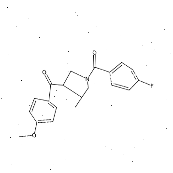 COc1ccc(C(=O)C2CN(C(=O)c3ccc(F)cc3)CC2C)cc1